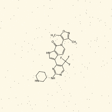 Cc1noc(C)c1-n1ccc2c(-c3nc(N[C@H]4CCCNC4)ncc3C(F)(F)F)c[nH]c2c1=O